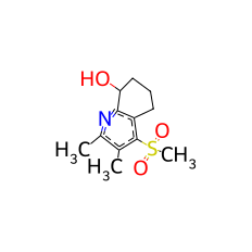 Cc1nc2c(c(S(C)(=O)=O)c1C)CCCC2O